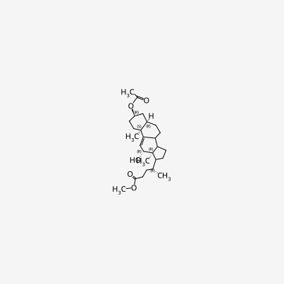 COC(=O)CC[C@@H](C)C1CCC2C3CC[C@@H]4C[C@H](OC(C)=O)CC[C@]4(C)C3=C[C@@H](O)[C@@]21C